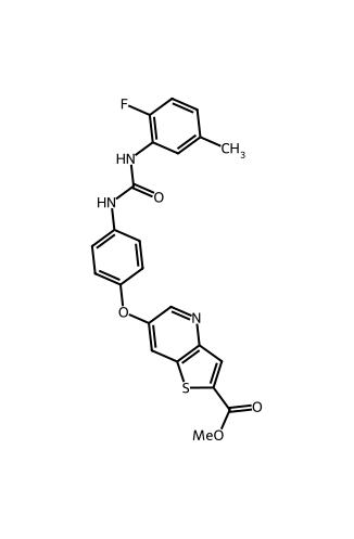 COC(=O)c1cc2ncc(Oc3ccc(NC(=O)Nc4cc(C)ccc4F)cc3)cc2s1